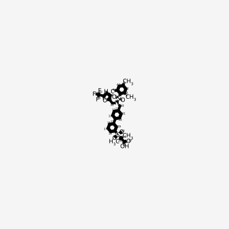 Cc1cc(C)c(S(=O)(=O)N(Cc2ccc(-c3cccc(S(=O)(=O)C(C)(C)C(=O)O)c3)cc2)Cc2ccc(C(F)(F)F)o2)c(C)c1